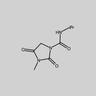 CC(C)NC(=O)N1CC(=O)N(C)C1=O